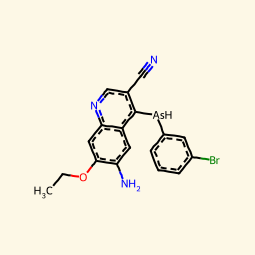 CCOc1cc2ncc(C#N)c([AsH]c3cccc(Br)c3)c2cc1N